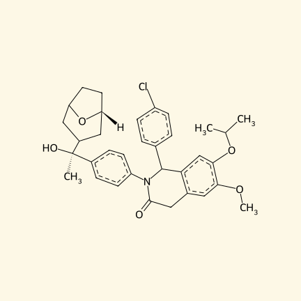 COc1cc2c(cc1OC(C)C)C(c1ccc(Cl)cc1)N(c1ccc([C@@](C)(O)C3CC4CC[C@H](C3)O4)cc1)C(=O)C2